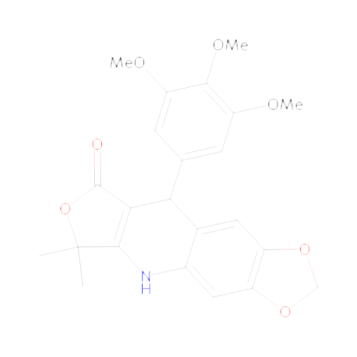 COc1cc(C2C3=C(Nc4cc5c(cc42)OCO5)C(C)(C)OC3=O)cc(OC)c1OC